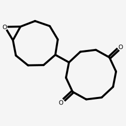 O=C1CCCCC(=O)CC(C2CCCC3OC3CCC2)CC1